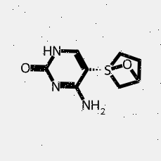 Nc1nc(=O)[nH]cc1[S@@]12CCC(C1)O2